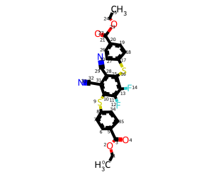 CCOC(=O)c1ccc(Sc2c(F)c(F)c(Sc3ccc(C(=O)OCC)cc3)c(C#N)c2C#N)cc1